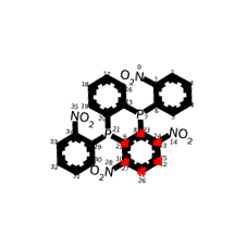 O=[N+]([O-])c1ccccc1P(c1ccccc1[N+](=O)[O-])c1ccccc1P(c1ccccc1[N+](=O)[O-])c1ccccc1[N+](=O)[O-]